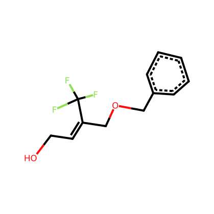 OCC=C(COCc1ccccc1)C(F)(F)F